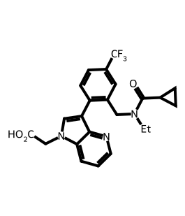 CCN(Cc1cc(C(F)(F)F)ccc1-c1cn(CC(=O)O)c2cccnc12)C(=O)C1CC1